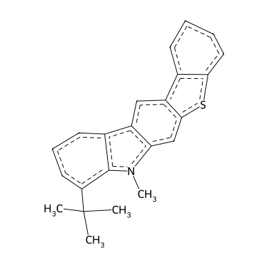 Cn1c2cc3sc4ccccc4c3cc2c2cccc(C(C)(C)C)c21